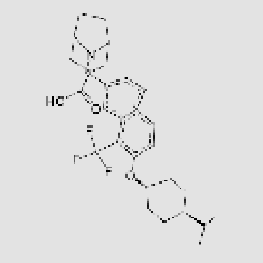 CC(C)[C@H]1CC[C@@H](Oc2ccc3ccc(CN4C5CCC4CC(C(=O)O)C5)cc3c2C(F)(F)F)CC1